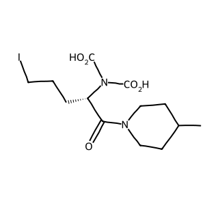 CC1CCN(C(=O)[C@H](CCCI)N(C(=O)O)C(=O)O)CC1